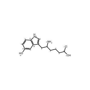 NC(CCCC(O)Cl)Cc1c[nH]c2ccc(O)cc12